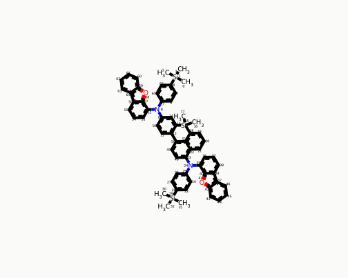 C[Si](C)(C)c1ccc(N(c2ccc3c(c2)[Si](C)(C)c2cccc4c(N(c5ccc([Si](C)(C)C)cc5)c5cccc6c5oc5ccccc56)ccc-3c24)c2cccc3c2oc2ccccc23)cc1